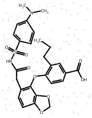 CCCc1cc(C(=O)O)ccc1Oc1c(CC(=O)NS(=O)(=O)c2ccc(N(C)C)cc2)ccc2c1OCO2